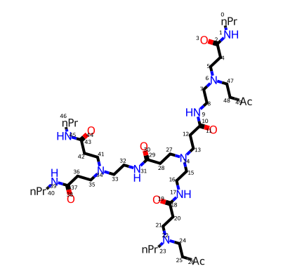 CCCNC(=O)CCN(CCNC(=O)CCN(CCNC(=O)CCN(CCC)CCC(C)=O)CCC(=O)NCCN(CCC(=O)NCCC)CCC(=O)NCCC)CCC(C)=O